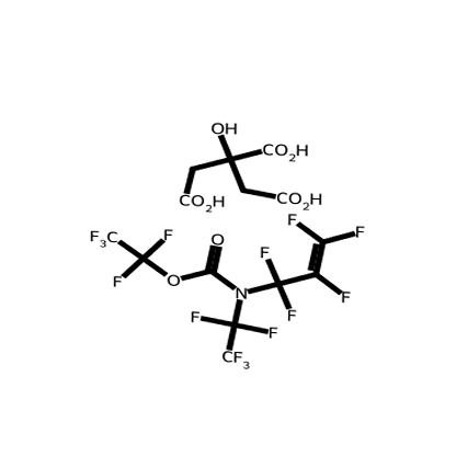 O=C(O)CC(O)(CC(=O)O)C(=O)O.O=C(OC(F)(F)C(F)(F)F)N(C(F)(F)C(F)=C(F)F)C(F)(F)C(F)(F)F